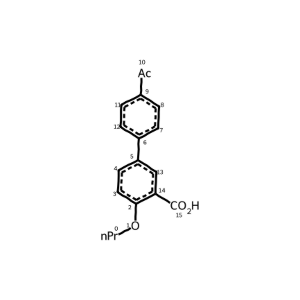 CCCOc1ccc(-c2ccc(C(C)=O)cc2)cc1C(=O)O